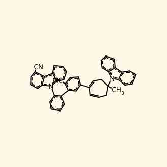 CC1(n2c3ccccc3c3ccccc32)CC=CC(c2ccc(C#N)c(-c3ccccc3-n3c4ccccc4c4c(C#N)cccc43)c2)=CC1